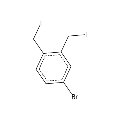 Brc1ccc(CI)c(CI)c1